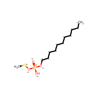 CCCCCCCCCCCOP(=O)(O)OSC